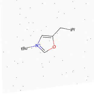 CC(C)Cc1c[n+](C(C)(C)C)co1